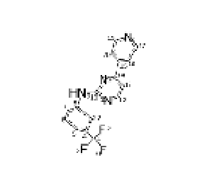 FC(F)(F)c1cccc(Nc2nccc(-c3ccncc3)n2)c1